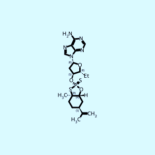 C=C(C)[C@H]1CC[C@@]2(C)S[P@@](=S)(O[C@H]3C[C@H](n4cnc5c(N)ncnc54)O[C@@H]3CC)O[C@@H]2C1